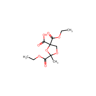 CCOC(=O)C1(C)OCC(C(=O)O)(C(=O)OCC)O1